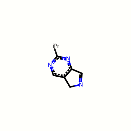 CC(C)c1ncc2c(n1)C=NC2